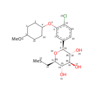 COC1CCC(Oc2cc([C@@H]3O[C@H](CSC)[C@@H](O)[C@H](O)[C@H]3O)ccc2Cl)CC1